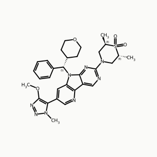 COc1nnn(C)c1-c1cnc2c3cnc(N4C[C@@H](C)S(=O)(=O)[C@H](C)C4)nc3n([C@H](c3ccccc3)C3CCOCC3)c2c1